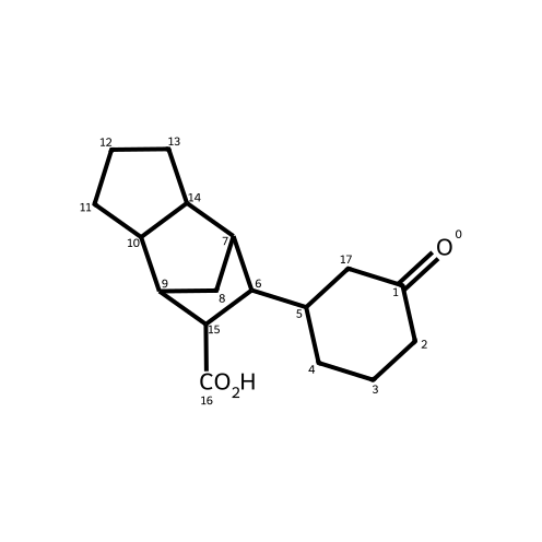 O=C1CCCC(C2C3CC(C4CCCC43)C2C(=O)O)C1